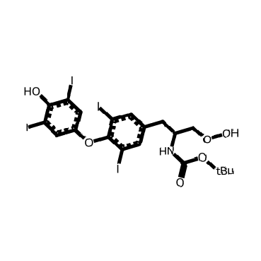 CC(C)(C)OC(=O)NC(COO)Cc1cc(I)c(Oc2cc(I)c(O)c(I)c2)c(I)c1